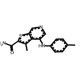 Cc1ccc(Nc2cncc3sc(C(N)=O)c(C)c23)cc1